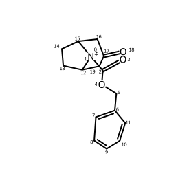 C[N+]1(C(=O)OCc2ccccc2)C2CCC1CC(=O)C2